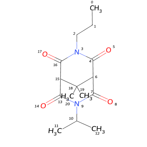 CCCN1C(=O)C2C(=O)N(C(C)C)C(=O)C(C1=O)C2(C)C